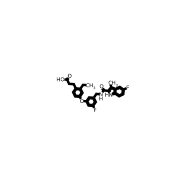 CCc1cc(Oc2cc(F)cc(CNC(=O)c3[nH]c4ccc(F)cc4c3C)c2)ccc1CCC(=O)O